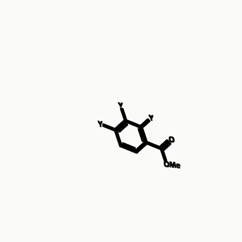 COC(=O)c1cc[c]([Y])[c]([Y])[c]1[Y]